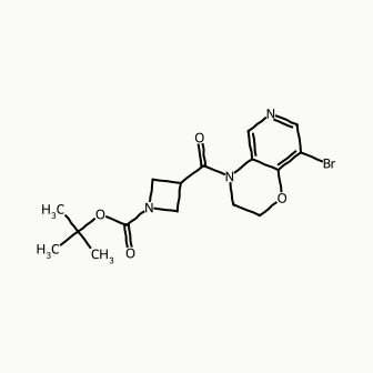 CC(C)(C)OC(=O)N1CC(C(=O)N2CCOc3c(Br)cncc32)C1